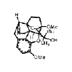 COc1ccc2c3c1O[C@H]1C4(OC)CCC5(C[C@@H]4C(C)(O)C(C)(C)C)[C@@H](C2)NCC[C@]315